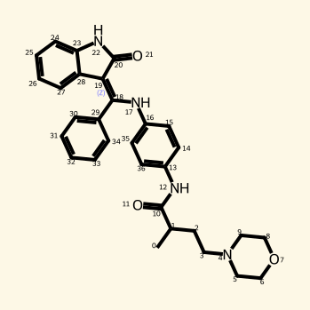 CC(CCN1CCOCC1)C(=O)Nc1ccc(N/C(=C2\C(=O)Nc3ccccc32)c2ccccc2)cc1